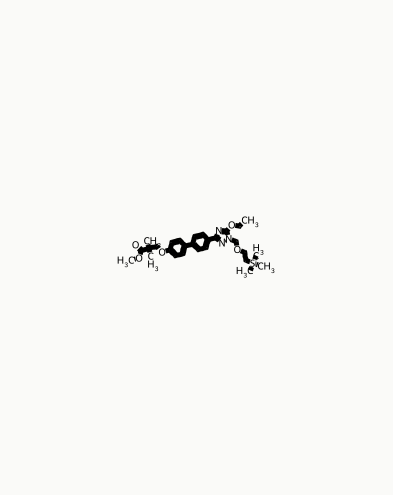 CCOc1nc(-c2ccc(-c3ccc(OCC(C)(C)C(=O)OC)cc3)cc2)nn1COCC[Si](C)(C)C